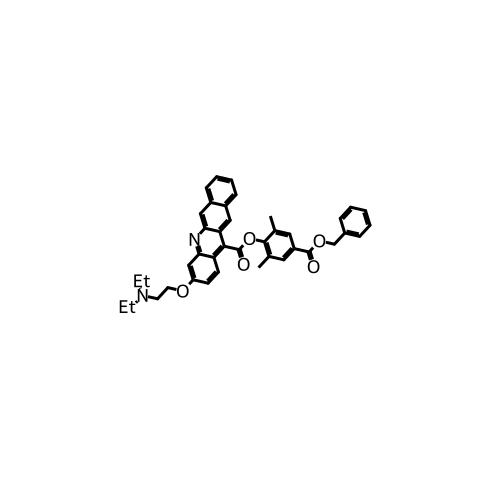 CCN(CC)CCOc1ccc2c(C(=O)Oc3c(C)cc(C(=O)OCc4ccccc4)cc3C)c3cc4ccccc4cc3nc2c1